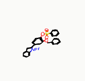 O=S(=O)(Oc1ccc(-c2cc3ccccc3[nH]2)cc1OCc1ccccc1)c1ccccc1